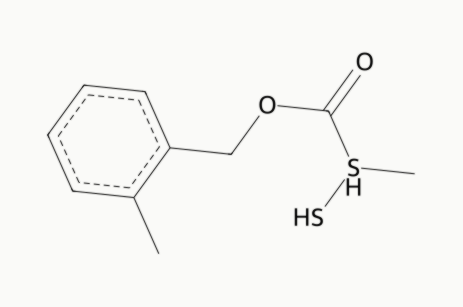 Cc1ccccc1COC(=O)[SH](C)S